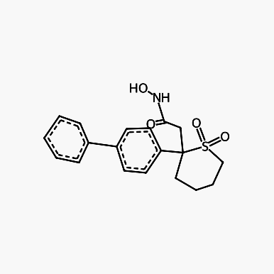 O=C(CC1(c2ccc(-c3ccccc3)cc2)CCCCS1(=O)=O)NO